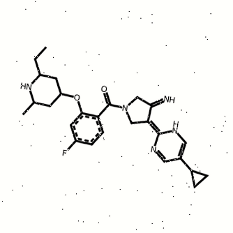 CCC1CC(Oc2cc(F)ccc2C(=O)N2CC(=N)/C(=C3/N=CC(C4CC4)=CN3)C2)CC(C)N1